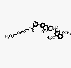 COCCOCCOCCOC(=O)c1cncc(-c2ccc3c(c2)C(=O)OC2(CCN(C(=O)c4cc(OC)c5cccc(OC)c5n4)CC2)C3)c1